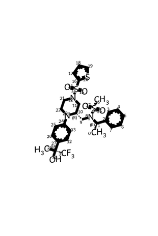 C[C@H](c1ccccc1)N(C[C@H]1CN(S(=O)(=O)c2cccs2)CCN1c1ccc([C@](C)(O)C(F)(F)F)cc1)S(C)(=O)=O